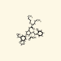 CCCON(CCC)C(=O)CN1C[C@H](c2cc(CO)c3c(c2)OCO3)[C@@H](C(=O)O)[C@@H]1CCn1ccccc1=O